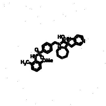 COc1cccc(C)c1NS(=O)(=O)c1ccc(CNC(O)C2(C3CCCCCC3)Cc3cnccc3N2)cc1